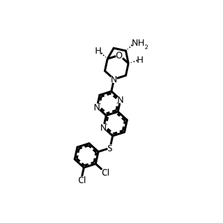 N[C@H]1C[C@@H]2CN(c3cnc4nc(Sc5cccc(Cl)c5Cl)ccc4n3)C[C@H]1O2